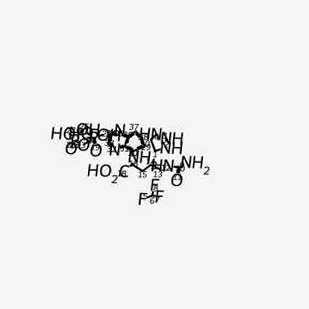 C1CNNN1.FC(F)F.NC(=O)NCCCC(N)C(=O)O.O=P(O)(O)OP(=O)(O)O.c1ccc2nccnc2c1